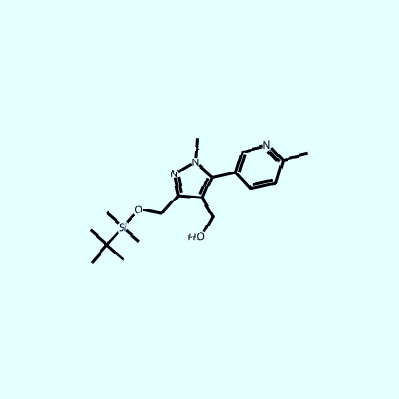 Cc1ccc(-c2c(CO)c(CO[Si](C)(C)C(C)(C)C)nn2C)cn1